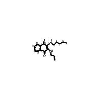 C=CCNC1=C(NCCCCC)C(=O)c2ccccc2C1=O